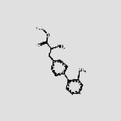 COC(=O)C(N)Cc1ccc(-c2ccncc2C)cc1